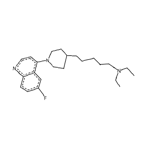 CCN(CC)CCCCCC1CCN(c2ccnc3ccc(F)cc23)CC1